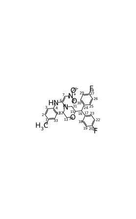 Cc1ccc(NC(=C[N+](=O)[O-])N2CCOC(C(c3ccc(F)cc3)c3ccc(F)cc3)C2)cc1